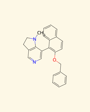 CN1CCc2cncc(-c3c(OCc4ccccc4)ccc4ccccc34)c21